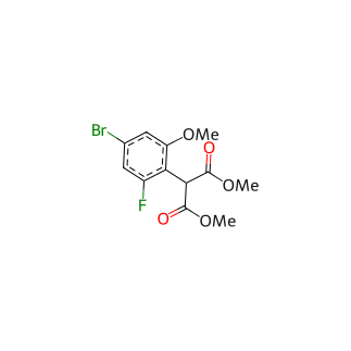 COC(=O)C(C(=O)OC)c1c(F)cc(Br)cc1OC